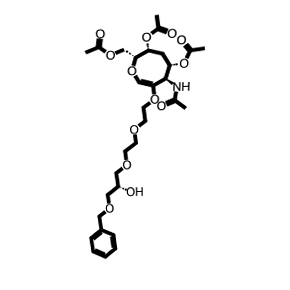 CC(=O)N[C@H]1C(OCCOCCOC[C@H](O)COCc2ccccc2)=CO[C@H](COC(C)=O)[C@H](OC(C)=O)C[C@@H]1OC(C)=O